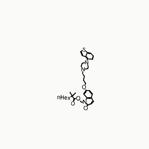 CCCCCCC(C)(C)C(=O)OCn1c(=O)ccc2ccc(OCCCCN3CCN(c4cccc5sccc45)CC3)cc21